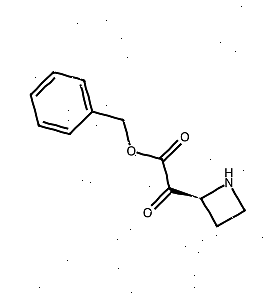 O=C(OCc1ccccc1)C(=O)[C@@H]1CCN1